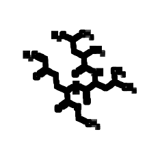 C=CC(=O)CCC(NC(=O)C(CC(C)C)NC(=O)C(N)CC(C)C)C(=O)OCC